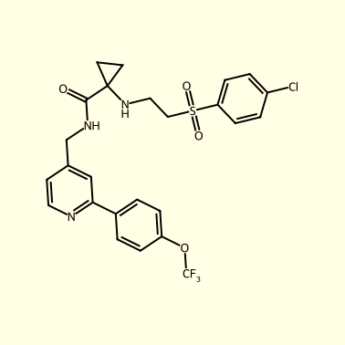 O=C(NCc1ccnc(-c2ccc(OC(F)(F)F)cc2)c1)C1(NCCS(=O)(=O)c2ccc(Cl)cc2)CC1